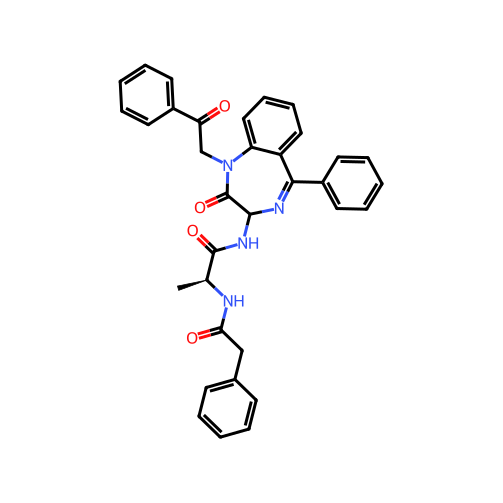 C[C@H](NC(=O)Cc1ccccc1)C(=O)NC1N=C(c2ccccc2)c2ccccc2N(CC(=O)c2ccccc2)C1=O